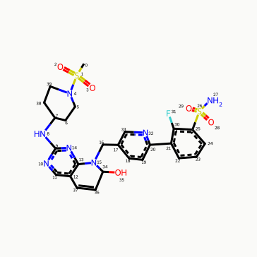 CS(=O)(=O)N1CCC(Nc2ncc3c(n2)N(Cc2ccc(-c4cccc(S(N)(=O)=O)c4F)nc2)C(O)C=C3)CC1